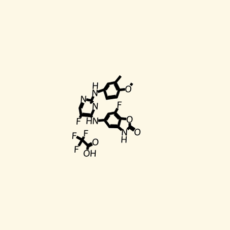 COc1ccc(Nc2ncc(F)c(Nc3cc(F)c4oc(=O)[nH]c4c3)n2)cc1C.O=C(O)C(F)(F)F